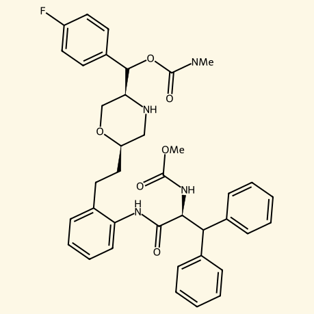 CNC(=O)OC(c1ccc(F)cc1)[C@@H]1CO[C@H](CCc2ccccc2NC(=O)[C@@H](NC(=O)OC)C(c2ccccc2)c2ccccc2)CN1